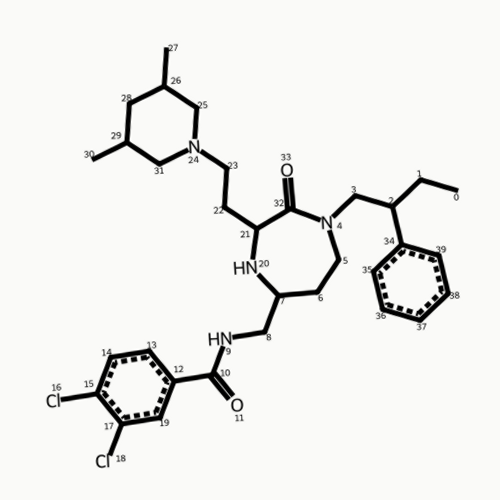 CCC(CN1CCC(CNC(=O)c2ccc(Cl)c(Cl)c2)NC(CCN2CC(C)CC(C)C2)C1=O)c1ccccc1